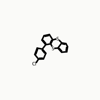 Clc1ccc(-c2cccc3c2Sc2ccccc2S3)cc1